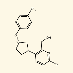 OCc1nc(Br)ccc1N1CC[C@H](Oc2ccc(C(F)(F)F)cn2)C1